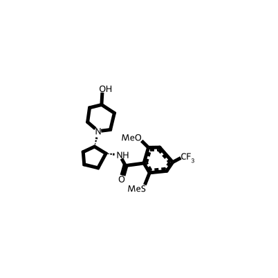 COc1cc(C(F)(F)F)cc(SC)c1C(=O)N[C@@H]1CCC[C@@H]1N1CCC(O)CC1